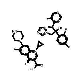 CC(c1ncncc1F)C(O)(Cn1cncn1)c1ccc(F)cc1F.O=C(O)c1cn(C2CC2)c2cc(N3CCNCC3)c(F)cc2c1=O